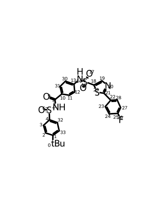 CC(C)(C)c1ccc([S+]([O-])NC(=O)c2ccc(NS(=O)(=O)c3cnc(-c4ccc(F)cc4)s3)cc2)cc1